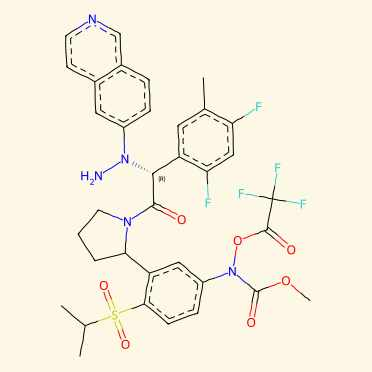 COC(=O)N(OC(=O)C(F)(F)F)c1ccc(S(=O)(=O)C(C)C)c(C2CCCN2C(=O)[C@@H](c2cc(C)c(F)cc2F)N(N)c2ccc3cnccc3c2)c1